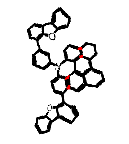 c1cc(-c2cccc3c2oc2ccccc23)cc(N(c2ccc(-c3cccc4c3oc3ccccc34)cc2)c2ccccc2-c2cccc3cccc(C4CCCCC4)c23)c1